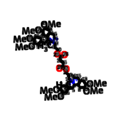 COc1ccc(CC2c3cc(OC)c(OC)cc3CC[N+]2(C)CCCOC(=O)/C=C/C(=O)OCCC[N+]2(C)CCc3cc(OC)c(OC)cc3C2Cc2ccc(OC)c(OC)c2)cc1OC